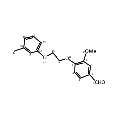 COc1cc(C=O)ccc1OCCOc1cccc(C)c1